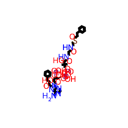 CC(C)(COP(=O)(O)OP(=O)(O)OC[C@H]1O[C@@H](n2c(C(=O)CCc3ccccc3)nc3c(N)ncnc32)[C@H](O)[C@@H]1OP(=O)(O)O)[C@@H](O)C(=O)NCCC(=O)NCCSC(=O)CCc1ccccc1